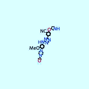 COc1cc(Nc2ncnc(-c3ccc(O[C@@H]4CCNC4)c(C#N)c3)n2)ccc1N1CCN(C2COC2)CC1